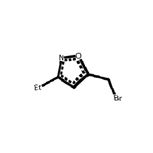 [CH2]Cc1cc(CBr)on1